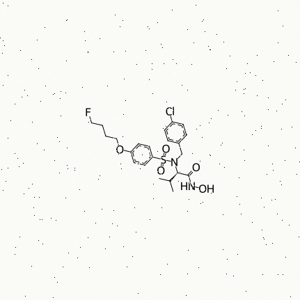 CC(C)[C@H](C(=O)NO)N(Cc1ccc(Cl)cc1)S(=O)(=O)c1ccc(OCCCCF)cc1